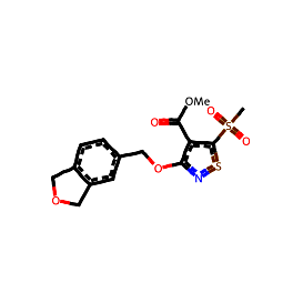 COC(=O)c1c(OCc2ccc3c(c2)COC3)nsc1S(C)(=O)=O